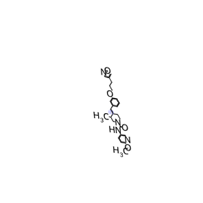 COc1ccc(NC(=O)N2CC/C(=C\c3cccc(OCCCc4cnoc4)c3)C(C)C2)cn1